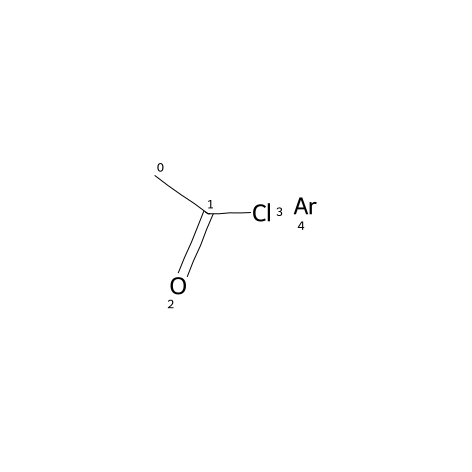 CC(=O)Cl.[Ar]